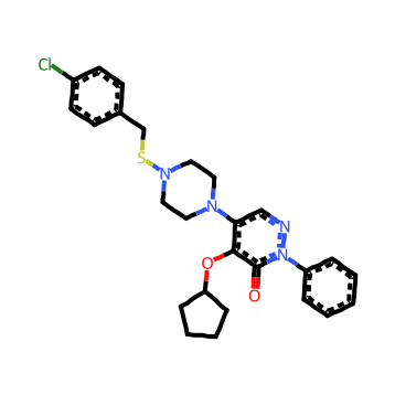 O=c1c(OC2CCCC2)c(N2CCN(SCc3ccc(Cl)cc3)CC2)cnn1-c1ccccc1